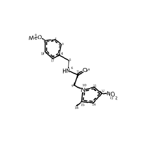 COc1ccc(CNC(=O)Cn2cc([N+](=O)[O-])cc2C)cc1